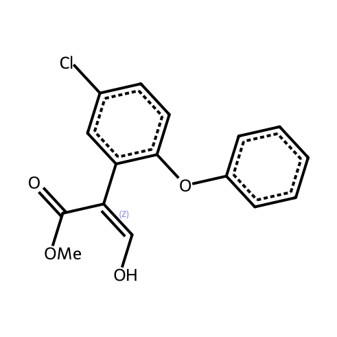 COC(=O)/C(=C\O)c1cc(Cl)ccc1Oc1ccccc1